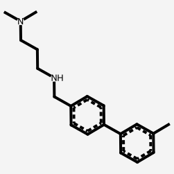 Cc1cccc(-c2ccc(CNCCCN(C)C)cc2)c1